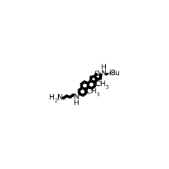 CC[C@H](C)CNC1CC2C(CC3C4CCC5CC(NCCCCN)CCC5(C)C4CCC23C)O1